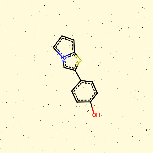 Oc1ccc(-c2cn3cccc3s2)cc1